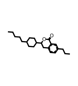 CCCCCC1CCC(C2Cc3ccc(CCC)cc3C(=O)O2)CC1